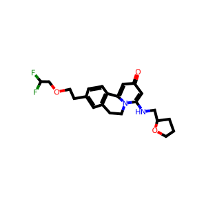 O=c1cc(NCC2CCCO2)n2c(c1)-c1ccc(CCOCC(F)F)cc1CC2